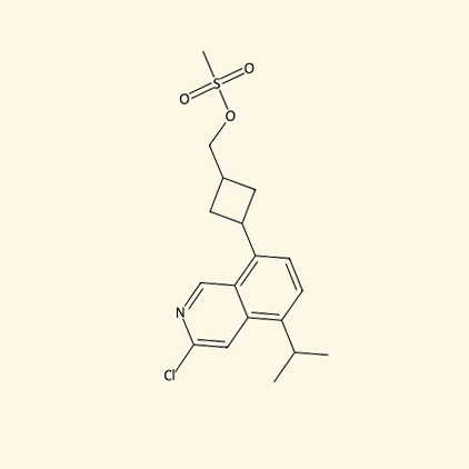 CC(C)c1ccc(C2CC(COS(C)(=O)=O)C2)c2cnc(Cl)cc12